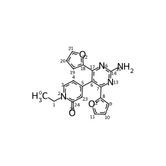 CCn1ccc(-c2c(-c3ccco3)nc(N)nc2-c2ccco2)cc1=O